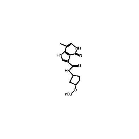 CCCCOC1CCC(NC(=O)c2c[nH]c3c(C)c[nH]c(=O)c23)C1